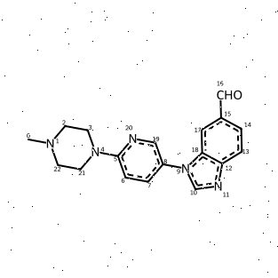 CN1CCN(c2ccc(-n3cnc4ccc(C=O)cc43)cn2)CC1